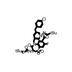 CC(C)(C)OC(=O)N[C@H]1CS(=O)(=O)c2cc(F)c(-c3nnc(C(C)(C)C)o3)cc2N(Cc2cncc(Cc3ccc(Cl)cc3)c2)C1=O